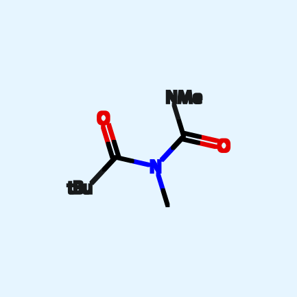 CNC(=O)N(C)C(=O)C(C)(C)C